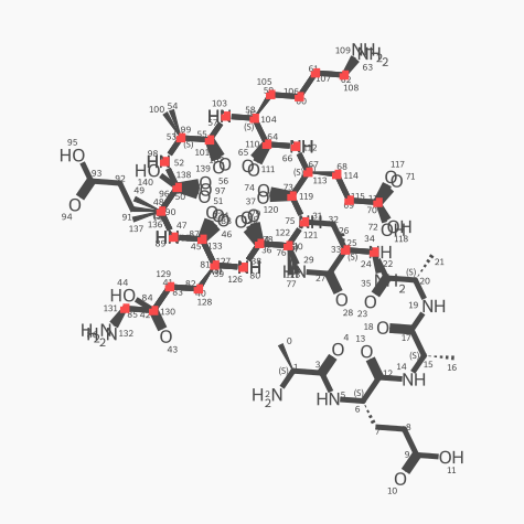 C[C@H](N)C(=O)N[C@@H](CCC(=O)O)C(=O)N[C@@H](C)C(=O)N[C@@H](C)C(=O)N[C@@H](C)C(=O)N[C@@H](CCCCN)C(=O)N[C@@H](CCC(=O)O)C(=O)N[C@@H](C)C(=O)N[C@@H](C)C(=O)N[C@@H](CCCCN)C(=O)N[C@@H](CCC(=O)O)C(=O)N[C@@H](C)C(=O)N[C@@H](CCCCN)C(=O)N[C@@H](CCC(=O)O)C(=O)N[C@@H](C)C(=O)N[C@@H](CCCCN)C(=O)N[C@@H](CCC(=O)O)C(=O)N[C@@H](C)C(=O)N[C@@H](CCCCN)C(=O)N[C@@H](C)C(=O)O